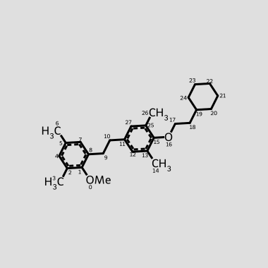 COc1c(C)cc(C)cc1CCc1cc(C)c(OCCC2CCCCC2)c(C)c1